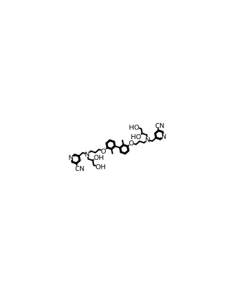 Cc1c(OCCCN(Cc2cncc(C#N)c2)CC(O)CO)cccc1-c1cccc(OCCCN(Cc2cncc(C#N)c2)CC(O)CO)c1C